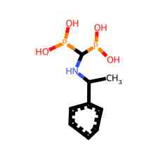 CC(NC(P(O)O)P(O)O)c1ccccc1